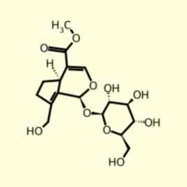 COC(=O)C1=CO[C@@H](O[C@@H]2O[C@H](CO)[C@@H](O)[C@H](O)[C@H]2O)C2=C(CO)CC[C@@H]12